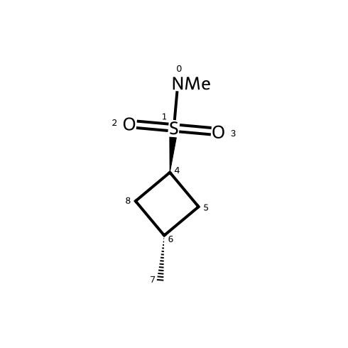 CNS(=O)(=O)[C@H]1C[C@H](C)C1